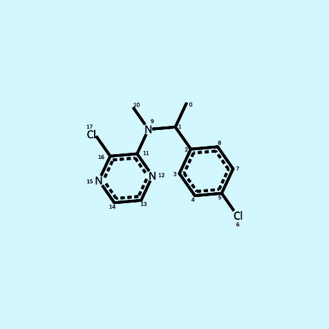 CC(c1ccc(Cl)cc1)N(C)c1nccnc1Cl